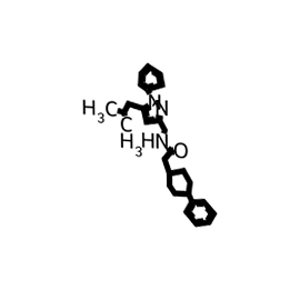 CC(C)Cc1cc(CNC(=O)CC2CCC(c3ccccc3)CC2)nn1-c1ccccc1